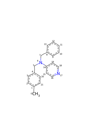 Cc1ccc(CN(Cc2ccccc2)c2ccncc2)cc1